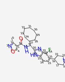 Cc1nocc1C(=O)NC(c1nc2c(F)c(C3CCN(C)CC3)ccc2[nH]1)C1CCCCCCC1